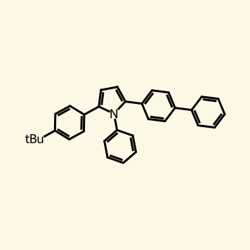 CC(C)(C)c1ccc(-c2ccc(-c3ccc(-c4ccccc4)cc3)n2-c2ccccc2)cc1